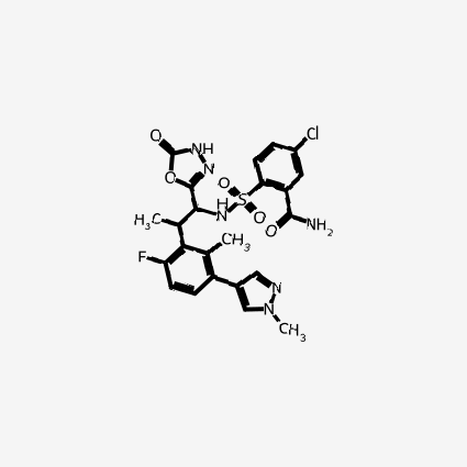 Cc1c(-c2cnn(C)c2)ccc(F)c1C(C)C(NS(=O)(=O)c1ccc(Cl)cc1C(N)=O)c1n[nH]c(=O)o1